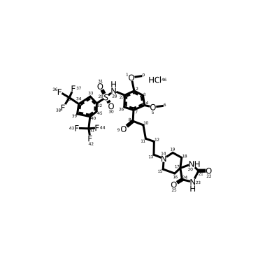 COc1cc(OC)c(C(=O)CCCCN2CCC3(CC2)NC(=O)NC3=O)cc1NS(=O)(=O)c1cc(C(F)(F)F)cc(C(F)(F)F)c1.Cl